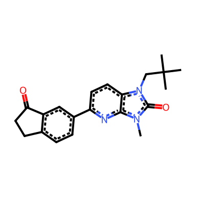 Cn1c(=O)n(CC(C)(C)C)c2ccc(-c3ccc4c(c3)C(=O)CC4)nc21